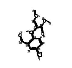 COC=C(Oc1ccc(Cl)cc1C=O)C(=O)OC